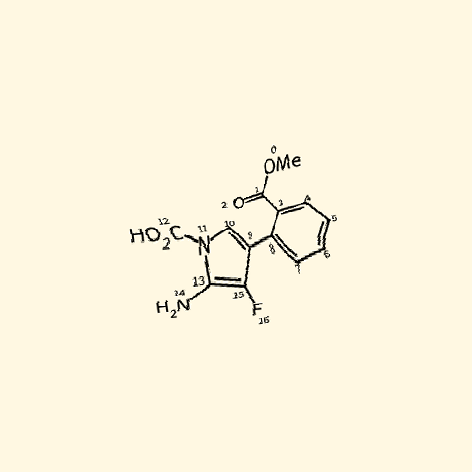 COC(=O)c1ccccc1-c1cn(C(=O)O)c(N)c1F